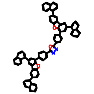 c1ccc2c(-c3ccc4oc5c(-c6ccc(-c7nnc(-c8ccc(-c9cc(-c%10cccc%11ccccc%10%11)cc%10c9oc9ccc(-c%11cccc%12ccccc%11%12)cc9%10)cc8)o7)cc6)cc(-c6cccc7ccccc67)cc5c4c3)cccc2c1